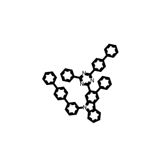 c1ccc(-c2ccc(-c3cccc(-n4c5ccccc5c5cc(-c6ccccc6)c(-c6nc(-c7ccccc7)nc(-c7ccc(-c8ccccc8)cc7)n6)cc54)c3)cc2)cc1